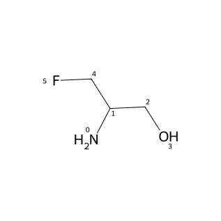 NC(CO)CF